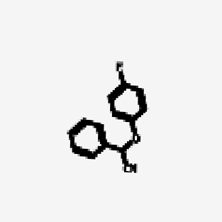 N#C[C](Oc1ccc(F)cc1)c1ccccc1